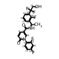 C[C@@H](NC(=O)c1ccc(=O)n(-c2ccc(F)cc2F)c1)c1cccc(C(F)(F)CO)c1F